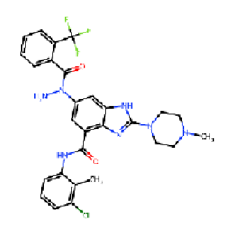 Cc1c(Cl)cccc1NC(=O)c1cc(N(N)C(=O)c2ccccc2C(F)(F)F)cc2[nH]c(N3CCN(C)CC3)nc12